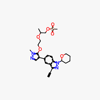 C#Cc1nn(C2CCCCO2)c2ccc(-c3cnn(C)c3OCCOC(C)COS(C)(=O)=O)cc12